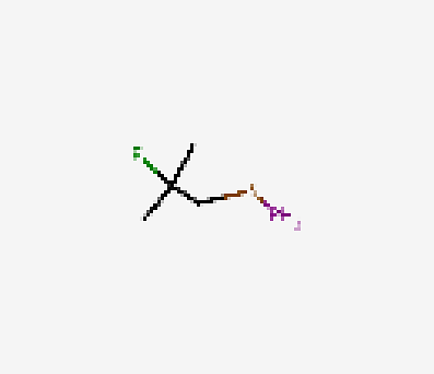 CC(C)(F)CSP